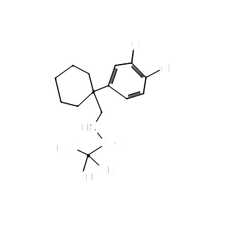 CC(C)(C)[S+]([O-])NCC1(c2ccc(Cl)c(Cl)c2)CCCCC1